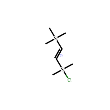 C[Si](C)(C)/C=C/[Si](C)(C)Cl